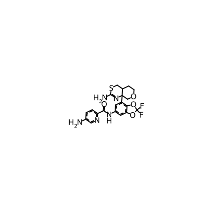 NC1=NC2(c3cc(NC(=O)c4ccc(N)cn4)cc4c3OC(F)(F)O4)COCCC2CS1